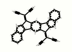 N#CC(C#N)=C1c2nc3c(nc2-c2c1oc1ccccc21)C(=C(C#N)C#N)c1oc2ccccc2c1-3